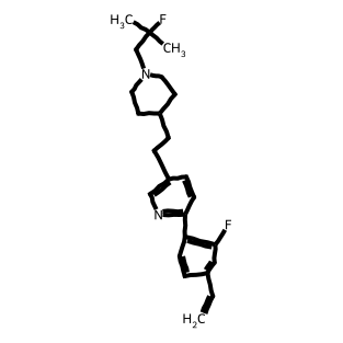 C=Cc1ccc(-c2ccc(CCC3CCN(CC(C)(C)F)CC3)cn2)c(F)c1